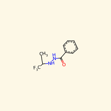 CC(NNC(=O)c1ccccc1)C(F)(F)F